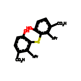 CCCc1c(C(=O)O)ccc(O)c1Sc1c(O)ccc(C(=O)O)c1CCC